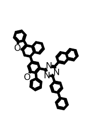 C1=CC2=C(CC1)c1c(oc3ccccc13)CC2c1cc(-c2nc(-c3ccc(-c4ccccc4)cc3)nc(-c3ccc4ccccc4c3)n2)c2c(c1)oc1ccccc12